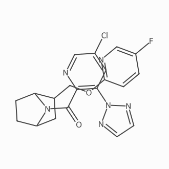 O=C(c1ncc(Cl)cc1-n1nccn1)N1C2CCC1C(COc1ccc(F)cn1)C2